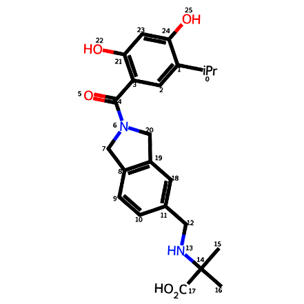 CC(C)c1cc(C(=O)N2Cc3ccc(CNC(C)(C)C(=O)O)cc3C2)c(O)cc1O